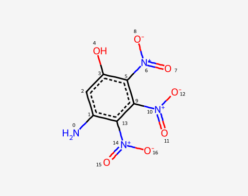 Nc1cc(O)c([N+](=O)[O-])c([N+](=O)[O-])c1[N+](=O)[O-]